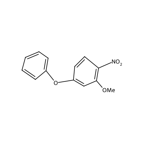 COc1cc(Oc2ccccc2)ccc1[N+](=O)[O-]